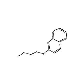 CCCC[CH]c1ccc2ccccc2c1